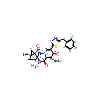 COc1c2n(cc(-c3nnc(Cc4ccc(F)cc4F)s3)c1=O)N(C)C1(CC[C@@H]3C[C@@]31CO)N(C)C2=O